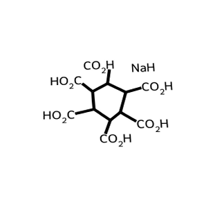 O=C(O)C1C(C(=O)O)C(C(=O)O)C(C(=O)O)C(C(=O)O)C1C(=O)O.[NaH]